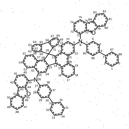 c1ccc(-c2ccc(N(c3ccc4c5c(c6ccccc6c4c3)-c3cc(N(c4ccc(-c6ccccc6)cc4)c4cccc6c4oc4ccccc46)c4ccccc4c3C53c4ccccc4-c4ccccc43)c3cccc4c3oc3ccccc34)cc2)cc1